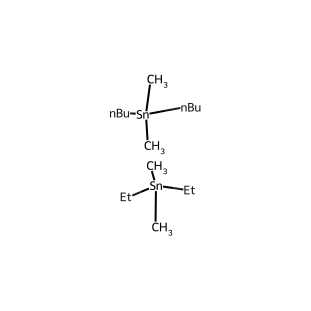 CCC[CH2][Sn]([CH3])([CH3])[CH2]CCC.C[CH2][Sn]([CH3])([CH3])[CH2]C